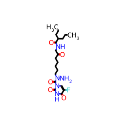 CCCC(CCC)C(=O)NCC(=O)CCCCCN(N)C(=O)n1cc(F)c(=O)[nH]c1=O